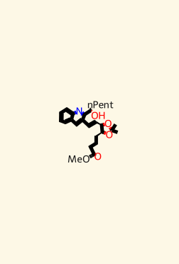 CCCCC[C@H](O)c1nc2ccccc2cc1/C=C/[C@H]1OC(C)(C)O[C@H]1CCCC(=O)OC